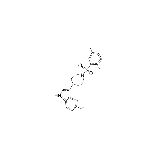 Cc1ccc(C)c(S(=O)(=O)N2CCC(c3c[nH]c4ccc(F)cc34)CC2)c1